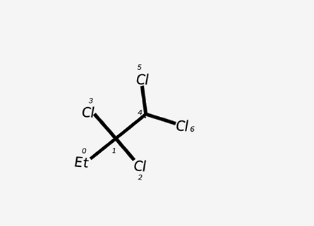 [CH2]CC(Cl)(Cl)[C](Cl)Cl